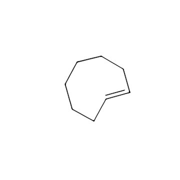 [CH]1/C=C/CCCCC1